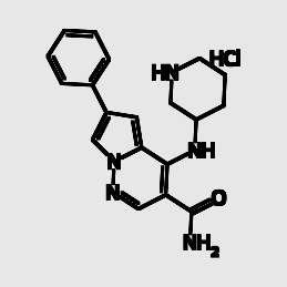 Cl.NC(=O)c1cnn2cc(-c3ccccc3)cc2c1NC1CCCNC1